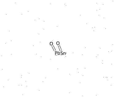 [O]=[Pb].[O]=[Sn]